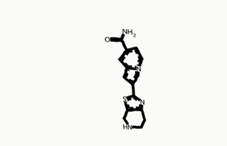 NC(=O)c1ccn2cc(-c3nc4c(s3)CNCC4)cc2c1